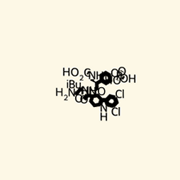 CC[C@H](C)C(NC(=O)[C@@]1(NC(=O)[C@@H](CNC(=O)O)c2ccc(OP(=O)(O)O)cc2)CCc2[nH]c3c(Cl)cc(Cl)cc3c2C1)C(N)=O